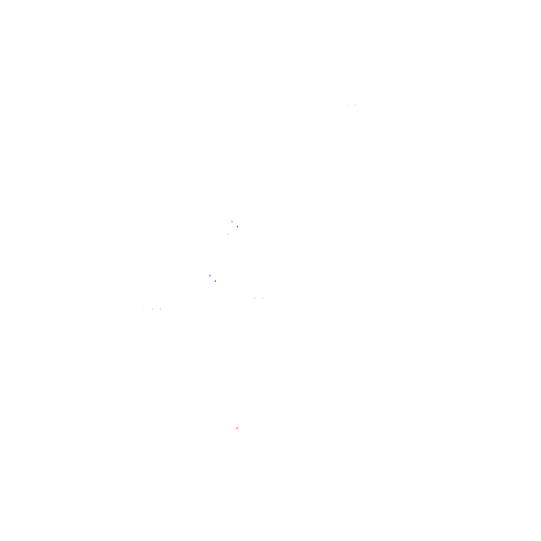 NC(Cc1ccc(OP(=O)(O)O)cc1)C(=O)NC(Cc1ccc(O)c(O)c1)C(=O)O